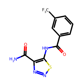 NC(=O)c1nnsc1NC(=O)c1cccc(C(F)(F)F)c1